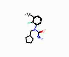 Cc1cccc(N(CC2CCCC2)C(N)=O)c1F